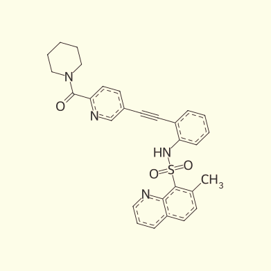 Cc1ccc2cccnc2c1S(=O)(=O)Nc1ccccc1C#Cc1ccc(C(=O)N2CCCCC2)nc1